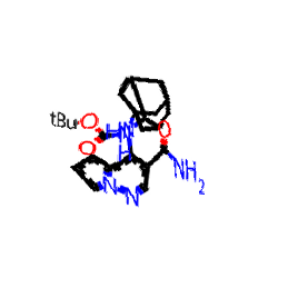 CC(C)(C)OC(=O)NC12CC3CC(C1)C(Nc1c(C(N)=O)cnn4cccc14)C(C3)C2